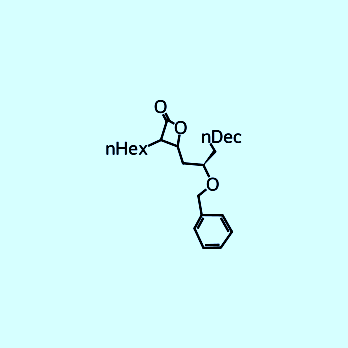 CCCCCCCCCCC[C@H](CC1OC(=O)C1CCCCCC)OCc1ccccc1